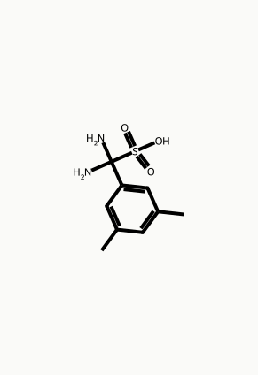 Cc1cc(C)cc(C(N)(N)S(=O)(=O)O)c1